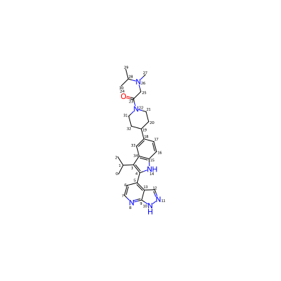 CC(C)c1c(-c2ccnc3[nH]ncc23)[nH]c2ccc(C3CCN(C(=O)CN(C)C(C)C)CC3)cc12